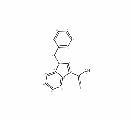 O=C(O)c1cn(Cc2ccccc2)c2cccnc12